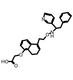 O=C(O)COc1cccc2c1CCC=C2CCONC(Cc1ccccc1)c1cccnc1